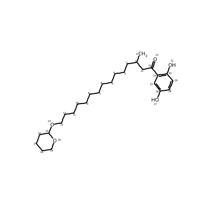 CC(CCCCCCCCCCCCOC1CCCCO1)CC(=O)c1cc(O)ccc1O